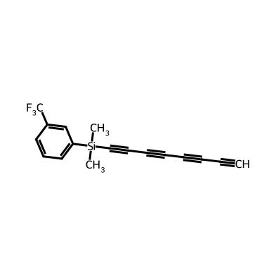 C#CC#CC#CC#C[Si](C)(C)c1cccc(C(F)(F)F)c1